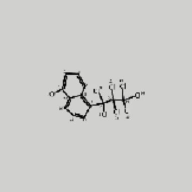 [O]c1cccc2c(C(Cl)(Cl)C(Cl)(Cl)C(Cl)(Cl)Cl)cccc12